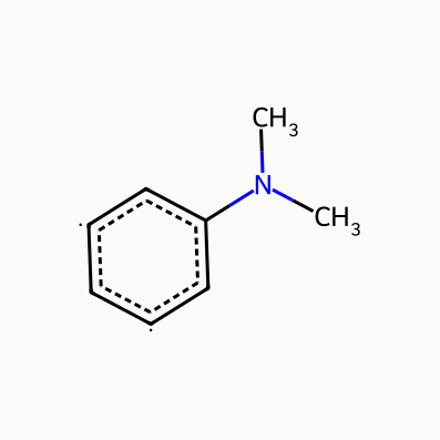 CN(C)c1c[c]c[c]c1